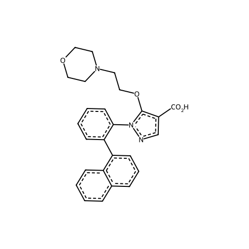 O=C(O)c1cnn(-c2ccccc2-c2cccc3ccccc23)c1OCCN1CCOCC1